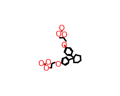 O=C1OCC(COc2ccc(C3(c4ccc(OCC5COC(=O)O5)cc4)CCCCC3)cc2)O1